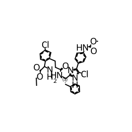 CCOC(=O)C(N)c1ccc(Cl)cc1CCC(=O)N[C@@H](Cc1ccccc1)c1nc(-c2ccc(NC(=O)OC)cc2)c(Cl)[nH]1